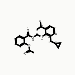 CC(=O)Oc1ccccc1C(=O)OCOc1c(CC2CC2)cccc1C(C)C